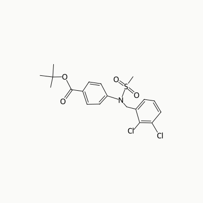 CC(C)(C)OC(=O)c1ccc(N(Cc2cccc(Cl)c2Cl)S(C)(=O)=O)cc1